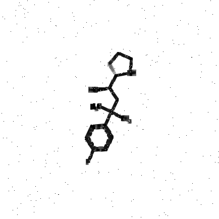 CS(C)(C[C@@H](O)[C@@H]1CCCN1)c1ccc(F)cc1